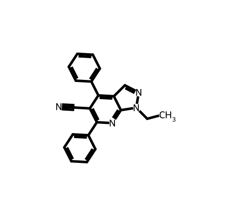 CCn1ncc2c(-c3ccccc3)c(C#N)c(-c3ccccc3)nc21